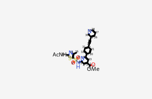 COC(=O)c1cc(NS(=O)(=O)c2sc(NC(C)=O)nc2C)nc(-c2ccc(C#Cc3cccnc3)cc2)c1